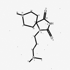 CN(C)CCCN1C(=O)NC(=O)C12CCN(C)CC2